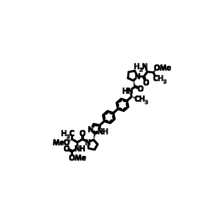 COC(=O)N[C@H](C(=O)N1CCC[C@H]1c1ncc(-c2ccc(-c3ccc([C@@H](C)NC(=O)[C@@H]4CCCN4C(=O)[C@@H](N)[C@@H](C)OC)cc3)cc2)[nH]1)[C@@H](C)OC